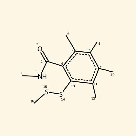 CNC(=O)c1c(C)c(C)c(C)c(C)c1SSC